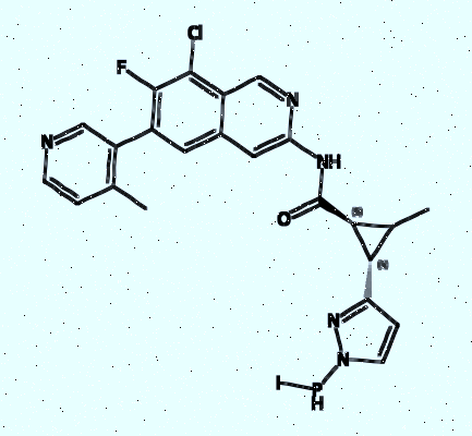 Cc1ccncc1-c1cc2cc(NC(=O)[C@H]3C(C)[C@@H]3c3ccn(PI)n3)ncc2c(Cl)c1F